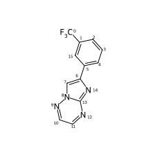 FC(F)(F)c1cccc(-c2cn3nccnc3n2)c1